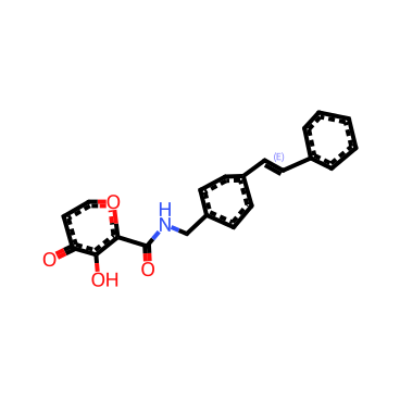 O=C(NCc1ccc(/C=C/c2ccccc2)cc1)c1occc(=O)c1O